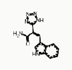 NC(=O)C(=Cc1c[nH]c2ccccc12)c1nnn[nH]1